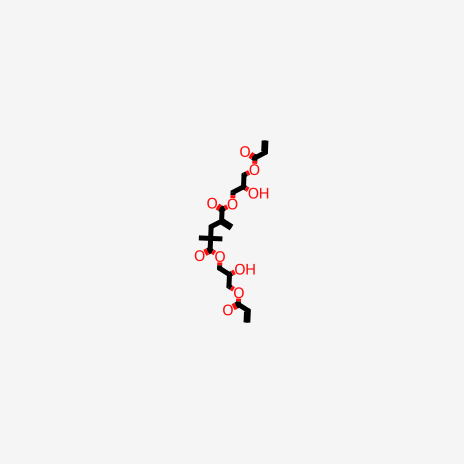 C=CC(=O)OCC(O)COC(=O)C(=C)CC(C)(C)C(=O)OCC(O)COC(=O)C=C